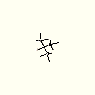 [Li][C]([Si](C)(C)C)([Si](C)(C)C)[Si](C)(C)C